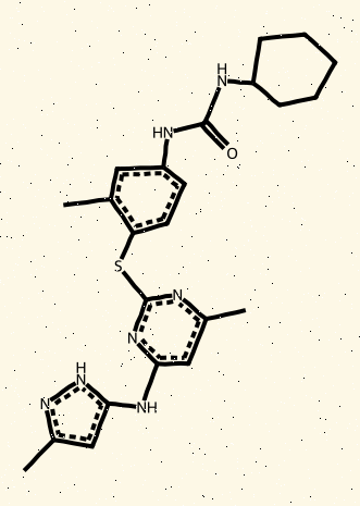 Cc1cc(Nc2cc(C)nc(Sc3ccc(NC(=O)NC4CCCCC4)cc3C)n2)[nH]n1